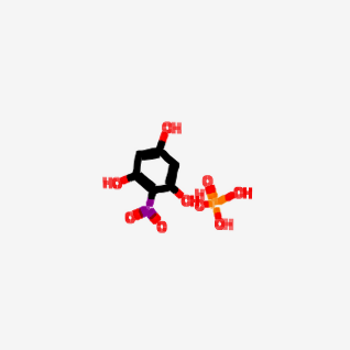 O=I(=O)c1c(O)cc(O)cc1O.O=P(O)(O)O